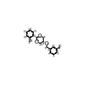 Fc1cccc(CO[C@H]2CO[C@@H](c3ccccc3F)OC2)c1